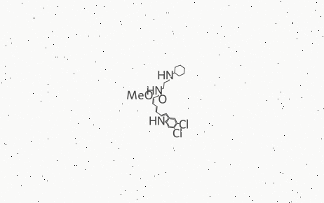 COC(=CC=Cc1cc2cc(Cl)c(Cl)cc2[nH]1)C(=O)NCCCNC1CCCCC1